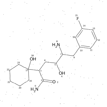 NC(=O)C(CC(O)C(N)Cc1cccc(F)c1)C1(O)CCCCC1